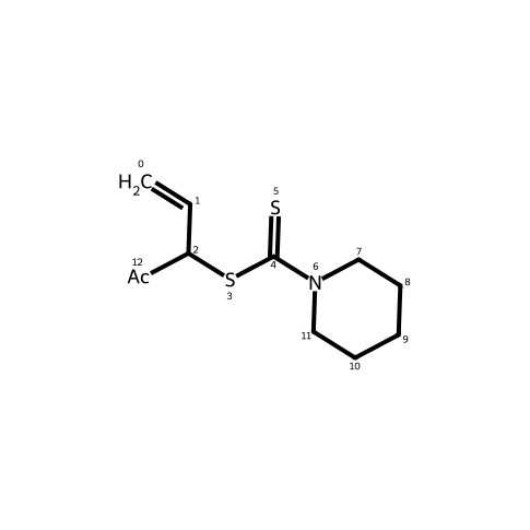 C=CC(SC(=S)N1CCCCC1)C(C)=O